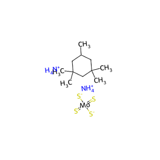 CC1CC(C)(C)CC(C)(C)C1.[NH4+].[NH4+].[S]=[Mo](=[S])([S-])[S-]